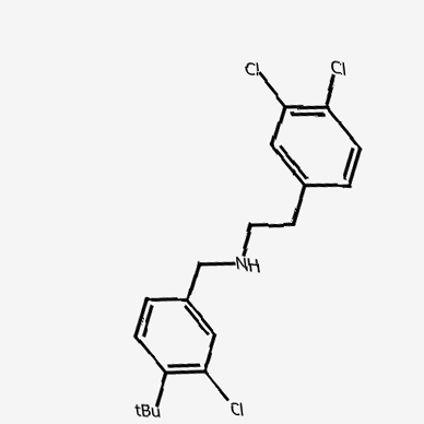 CC(C)(C)c1ccc(CNCCc2ccc(Cl)c(Cl)c2)cc1Cl